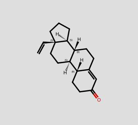 C=C[C@@]12CCC[C@H]1[C@@H]1CCC3=CC(=O)CC[C@@H]3[C@H]1CC2